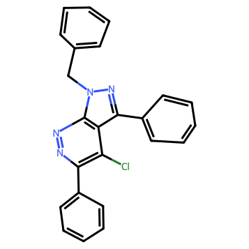 Clc1c(-c2ccccc2)nnc2c1c(-c1ccccc1)nn2Cc1ccccc1